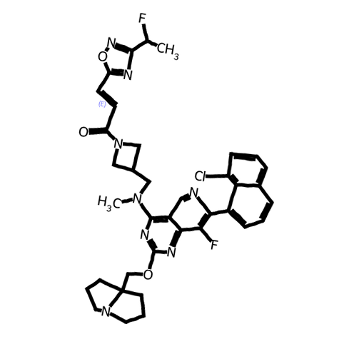 CC(F)c1noc(/C=C/C(=O)N2CC(CN(C)c3nc(OCC45CCCN4CCC5)nc4c(F)c(-c5cccc6cccc(Cl)c56)ncc34)C2)n1